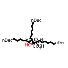 CCCCCCCCCCCCCCCCC(CCCCCCCCCCCCCCCC)(C(=O)O)C(O)(C(=O)O)C(CCCCCCCCCCCCCCCC)(C(C)=O)C(=O)O